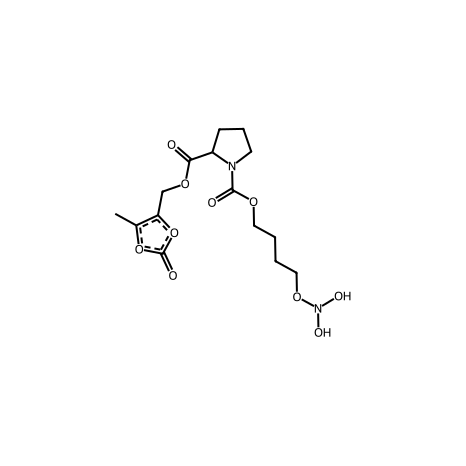 Cc1oc(=O)oc1COC(=O)C1CCCN1C(=O)OCCCCON(O)O